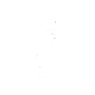 CNCCn1c(C[C@@]23CC[C@]4(C)[C@H](CC[C@@H]5[C@@]6(C)CC[C@H](OC(=O)CC(C)(C)C(=O)O)C(C)(C)[C@@H]6CC[C@]54C)C2=C(C(C)C)C(=O)C3)nnc1-c1ccc(Cl)cn1